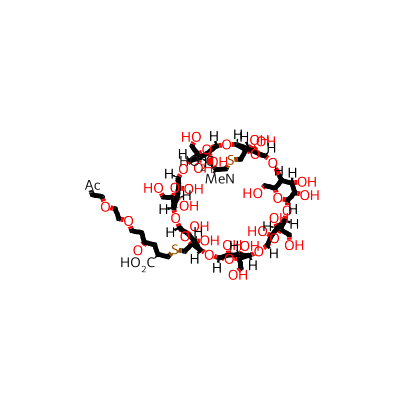 CN[C@H](CSCC1O[C@@H]2O[C@@H]3C(CO)O[C@H](O[C@@H]4C(CO)O[C@H](O[C@@H]5C(CO)O[C@H](O[C@@H]6C(CSC[C@@H](CC(=O)CCOCCOCCC(C)=O)C(=O)O)O[C@H](O[C@@H]7C(CO)O[C@@H](O[C@@H]8C(CO)O[C@H](O[C@H]1[C@H](O)C2O)C(O)[C@H]8O)C(O)[C@H]7O)C(O)[C@H]6O)C(O)[C@H]5O)C(O)[C@H]4O)C(O)[C@H]3O)C(=O)O